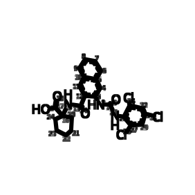 O=C(Nc1cc2ccccc2cc1C(=O)NC1(C(=O)O)CCCCC1)Nc1c(Cl)cc(Cl)cc1Cl